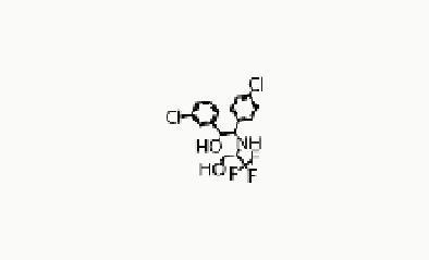 OC[C@@H](N[C@H](c1ccc(Cl)cc1)[C@H](O)c1cccc(Cl)c1)C(F)(F)F